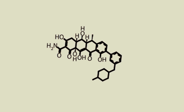 CC1CCC(Cc2cccc(-c3ccc4c(c3O)C(=O)C3=C(O)[C@]5(O)C(=O)C(C(N)=O)=C(O)C[C@@H]5[C@@H](O)[C@@H]3[C@H]4C)c2)CC1